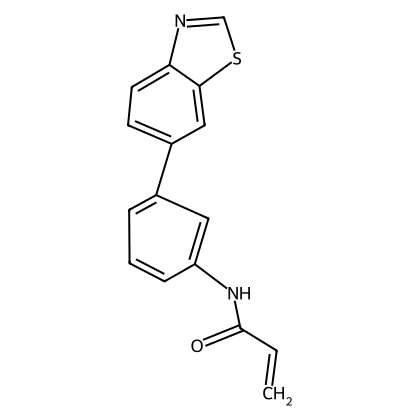 C=CC(=O)Nc1cccc(-c2ccc3ncsc3c2)c1